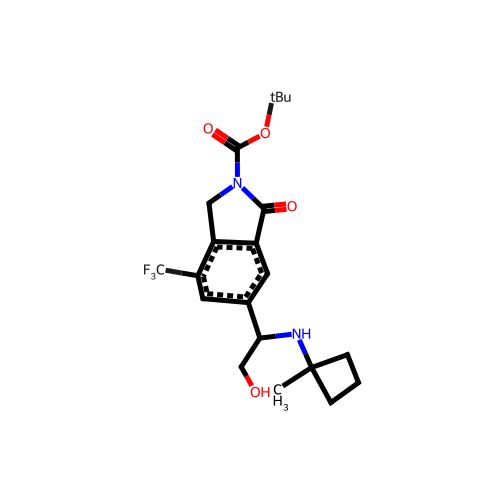 CC1(NC(CO)c2cc3c(c(C(F)(F)F)c2)CN(C(=O)OC(C)(C)C)C3=O)CCC1